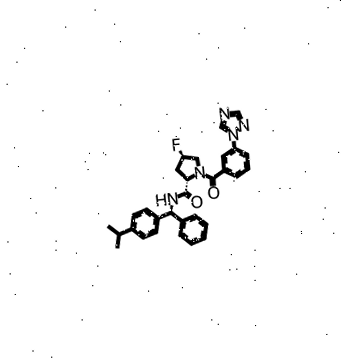 CC(C)c1ccc([C@@H](NC(=O)[C@@H]2C[C@@H](F)CN2C(=O)c2cccc(-n3cncn3)c2)c2ccccc2)cc1